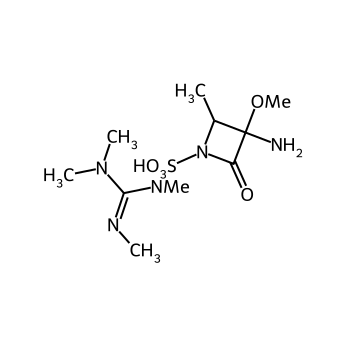 C/N=C(\NC)N(C)C.COC1(N)C(=O)N(S(=O)(=O)O)C1C